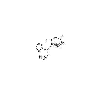 Cc1ccc([C@H](CN)c2ccccn2)c(C)c1